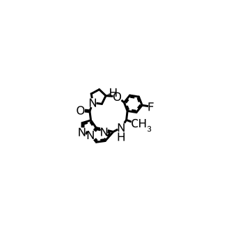 CC1Nc2ccn3ncc(c3n2)C(=O)N2CC[C@H](C2)Oc2ccc(F)cc21